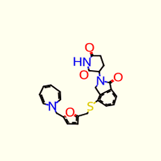 O=C1CCC(N2Cc3c(SCc4ccc(CN5C=CC=CC=C5)o4)cccc3C2=O)C(=O)N1